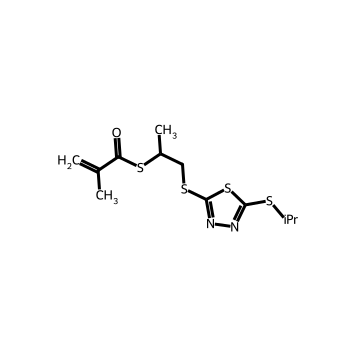 C=C(C)C(=O)SC(C)CSc1nnc(SC(C)C)s1